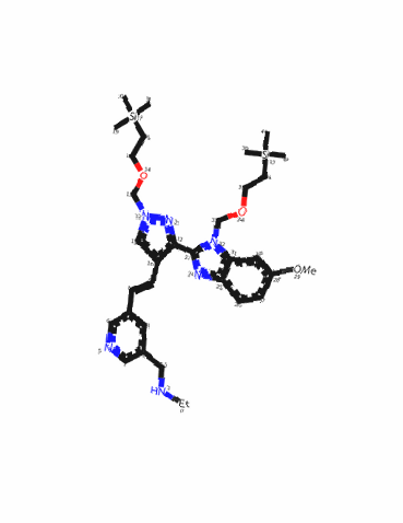 CCNCc1cncc(C=Cc2cn(COCC[Si](C)(C)C)nc2-c2nc3ccc(OC)cc3n2COCC[Si](C)(C)C)c1